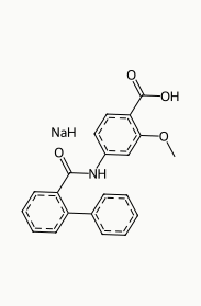 COc1cc(NC(=O)c2ccccc2-c2ccccc2)ccc1C(=O)O.[NaH]